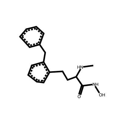 CNC(CCc1ccccc1Cc1ccccc1)C(=O)NO